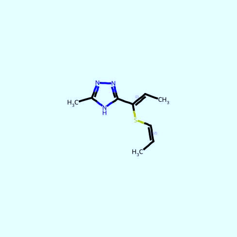 C/C=C\S/C(=C\C)c1nnc(C)[nH]1